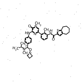 Cc1c(NC(=O)c2cc3c(s2)CCCCC3)cccc1-c1cn(C)c(=O)c(Nc2ccc(C(ON3CCC3)N(C)C(C)C)cc2)n1